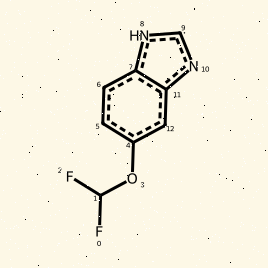 FC(F)Oc1ccc2[nH][c]nc2c1